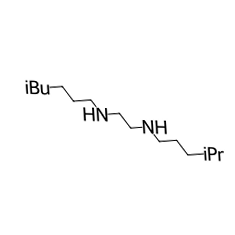 CCC(C)CCCNCCNCCCC(C)C